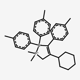 Cc1ccc(C2=C(C3CCCCC3)C[P+](C)(C)[B-]2(c2ccc(C)cc2)c2ccc(C)cc2)cc1